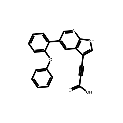 O=C(O)C#Cc1c[nH]c2ncc(-c3ccccc3Oc3ccccc3)cc12